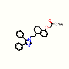 COC(=O)COc1cccc2c1CCCC2CCn1cnc(-c2ccccc2)c1-c1ccccc1